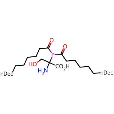 CCCCCCCCCCCCCCCC(=O)P(C(=O)CCCCCCCCCCCCCCC)C(N)(CO)C(=O)O